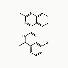 Cc1nc(C(=O)NC(C)c2cccc(F)c2)c2ccccc2n1